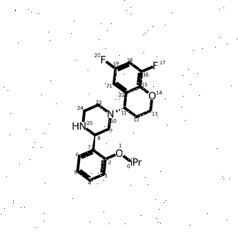 CC(C)Oc1ccccc1[C@@H]1CN([C@H]2CCOc3c(F)cc(F)cc32)CCN1